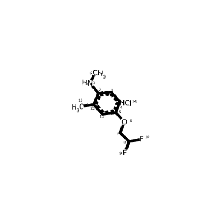 CNc1ccc(OCC(F)F)cc1C.Cl